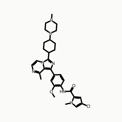 COc1cc(-c2nc(C3CCC(N4CCN(C)CC4)CC3)n3ccnc(C)c23)ccc1NC(=O)c1cc(Cl)cn1C